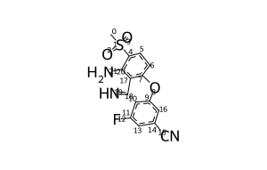 CS(=O)(=O)c1ccc(Oc2cc(F)cc(C#N)c2)c(C=N)c1N